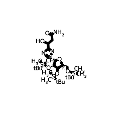 CC(C)(C)[Si](C)(C)OC[C@H]1O[C@@H](n2cnc(C(O)CC(N)=O)n2)[C@@H](O[Si](C)(C)C(C)(C)C)C1O[Si](C)(C)C(C)(C)C